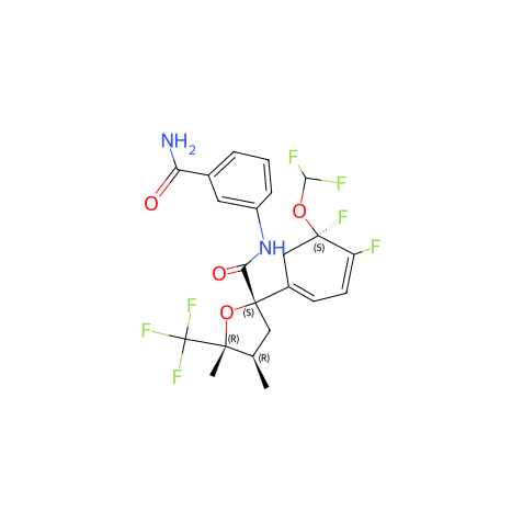 C[C@@H]1C[C@@](C(=O)Nc2cccc(C(N)=O)c2)(C2=CC=C(F)[C@](F)(OC(F)F)C2)O[C@@]1(C)C(F)(F)F